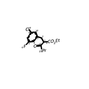 CCOC(=O)C(Cc1cc(F)cc(Cl)c1)C(=O)C(C)C